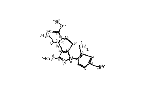 Cc1cc(C(C)C)ccc1-n1nc(C(=O)O)c2c1CCN(C(=O)OC(C)(C)C)[C@H]2CN